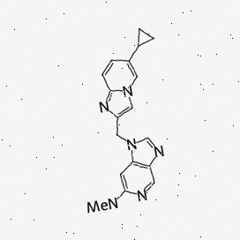 CNc1cc2c(cn1)ncn2Cc1cn2cc(C3CC3)ccc2n1